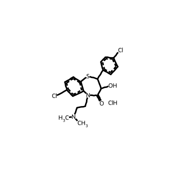 CN(C)CCN1C(=O)C(O)C(c2ccc(Cl)cc2)Sc2ccc(Cl)cc21.Cl